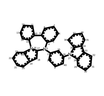 c1cc(N2c3ccccc3-c3ccccc3-n3c2cc2ccccc23)cc(-n2c3ccccc3c3ccccc32)c1